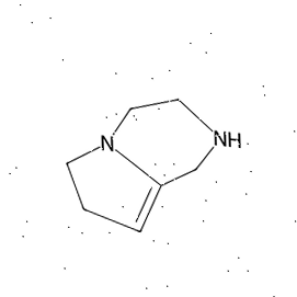 C1=C2CNCCN2CC1